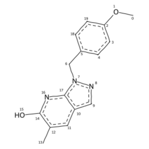 COc1ccc(Cn2ncc3cc(C)c(O)nc32)cc1